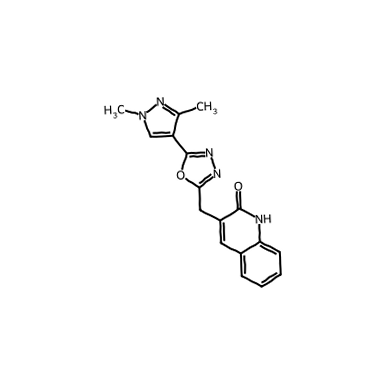 Cc1nn(C)cc1-c1nnc(Cc2cc3ccccc3[nH]c2=O)o1